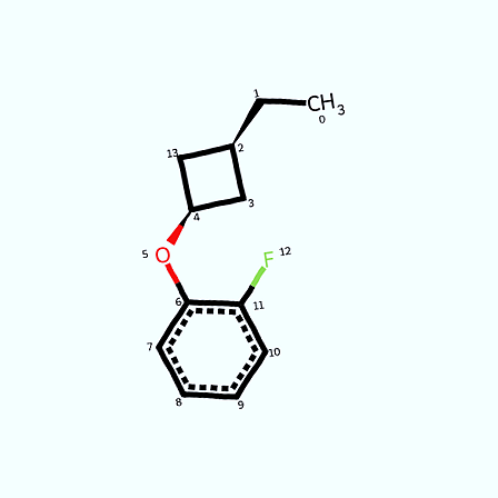 CC[C@H]1C[C@@H](Oc2ccccc2F)C1